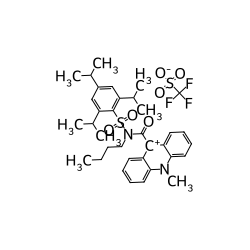 CCCCN(C(=O)[c+]1c2ccccc2n(C)c2ccccc21)S(=O)(=O)c1c(C(C)C)cc(C(C)C)cc1C(C)C.O=S(=O)([O-])C(F)(F)F